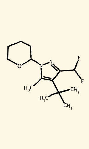 Cc1c(C(C)(C)C)c(C(F)F)nn1C1CCCCO1